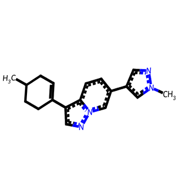 CC1CC=C(c2cnn3cc(-c4cnn(C)c4)ccc23)CC1